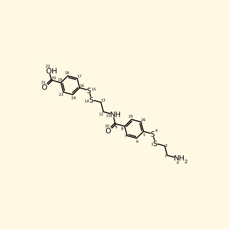 NCCSSc1ccc(C(=O)NCCSSc2ccc(C(=O)O)cc2)cc1